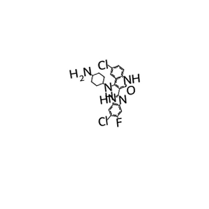 NC1CCC(Nc2c(-c3nc4cc(F)c(Cl)cc4[nH]3)c(=O)[nH]c3ccc(Cl)cc23)CC1